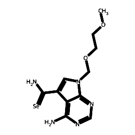 COCCOCn1cc(C(N)=[Se])c2c(N)ncnc21